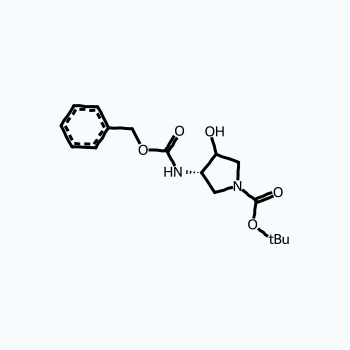 CC(C)(C)OC(=O)N1CC(O)[C@@H](NC(=O)OCc2ccccc2)C1